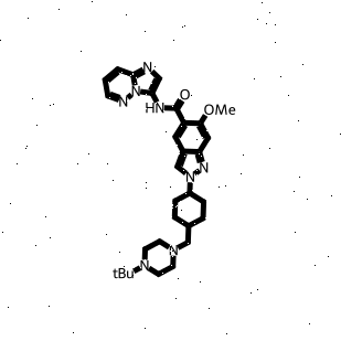 COc1cc2nn(C3CCC(CN4CCN(C(C)(C)C)CC4)CC3)cc2cc1C(=O)Nc1cnc2cccnn12